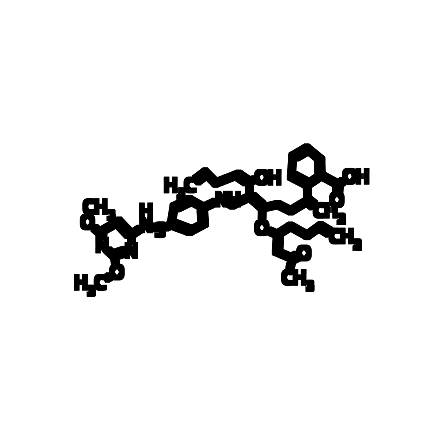 C=CC/C=C(O)\C(CNc1ccc(SNc2cc(OC)nc(OC)n2)cc1)=C(/CCC(=C)c1ccccc1C(=O)O)O/C(=C/C(C)=O)CCC=C